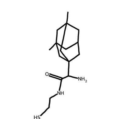 CC12CC3CC(C)(C1)CC(C(N)C(=O)NCCS)(C3)C2